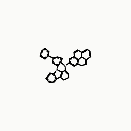 C1=CC2=CCc3cc(N4C5=CCCC6=C5B(c5ccccc56)c5cc(-c6ccccc6)ccc54)cc4c3C2C(=C1)C=C4